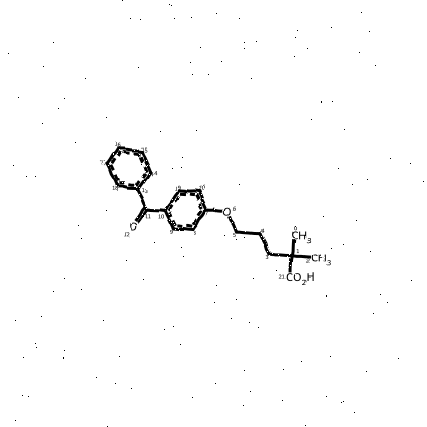 CC(C)(CCCOc1ccc(C(=O)c2ccccc2)cc1)C(=O)O